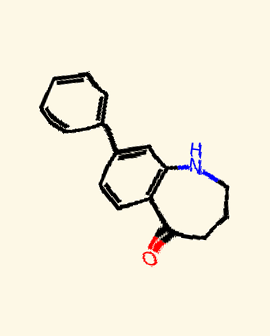 O=C1CCCNc2cc(-c3ccccc3)ccc21